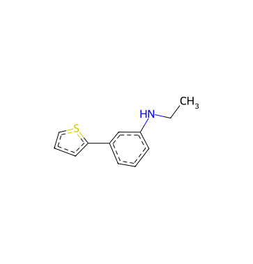 CCNc1cccc(-c2cccs2)c1